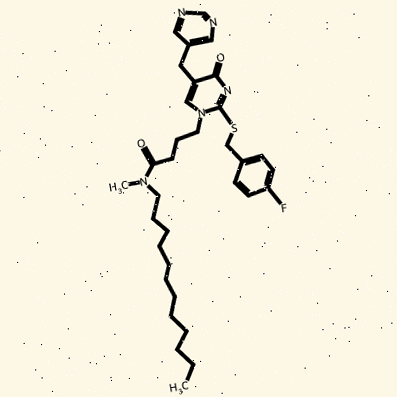 CCCCCCCCCCCCN(C)C(=O)CCCn1cc(Cc2cncnc2)c(=O)nc1SCc1ccc(F)cc1